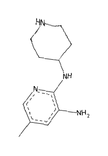 Cc1cnc(NC2CCNCC2)c(N)c1